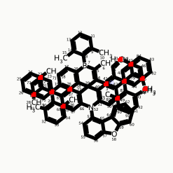 C=C/C(=C\C1=C(C)B(c2c(C)cccc2C)c2ccc(B(c3c(C)cccc3C)c3c(C)cccc3C)cc2C12c1cc(-c3ccccc3)ccc1N(c1cccc3oc4ccccc4c13)c1ccc(-c3ccccc3)cc12)B(c1c(C)cccc1C)c1c(C)cccc1C